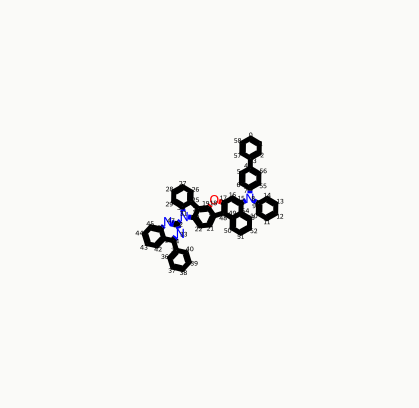 c1ccc(-c2ccc(N(c3ccccc3)c3cc4oc5c(ccc6c5c5ccccc5n6-c5nc(-c6ccccc6)c6ccccc6n5)c4c4ccccc34)cc2)cc1